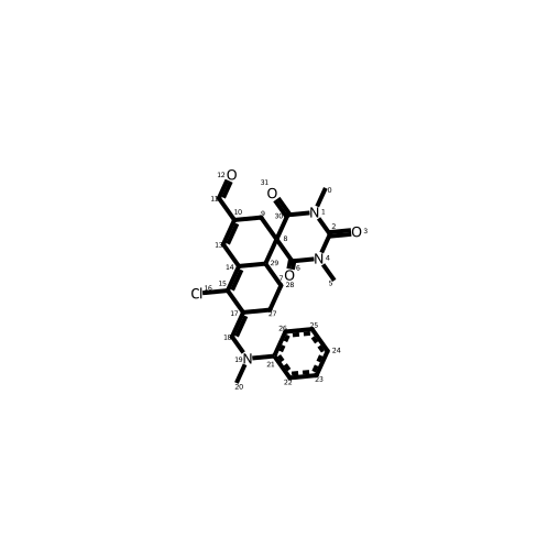 CN1C(=O)N(C)C(=O)C2(CC(C=O)=CC3=C(Cl)/C(=C/N(C)c4ccccc4)CCC32)C1=O